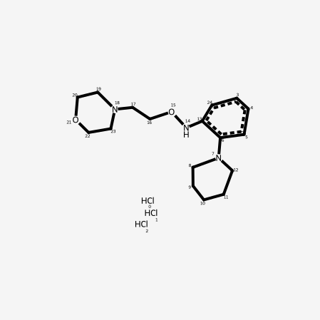 Cl.Cl.Cl.c1ccc(N2CCCCC2)c(NOCCN2CCOCC2)c1